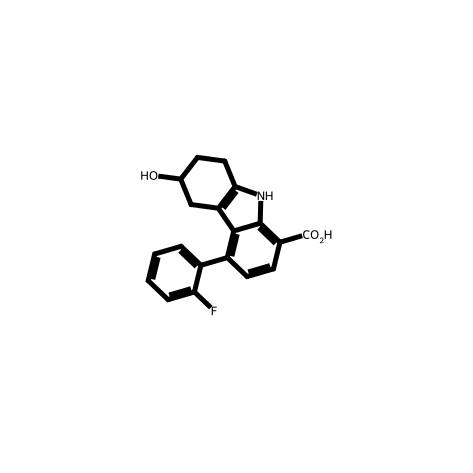 O=C(O)c1ccc(-c2ccccc2F)c2c3c([nH]c12)CCC(O)C3